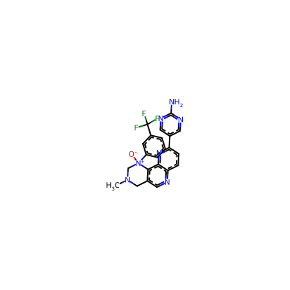 CN1Cc2cnc3ccc(-c4cnc(N)nc4)nc3c2[N+]([O-])(c2cccc(C(F)(F)F)c2)C1